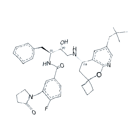 CC(C)(C)Cc1cnc2c(c1)[C@@H](NC[C@@H](O)[C@H](Cc1ccccc1)NC(=O)c1ccc(F)c(N3CCCC3=O)c1)CC1(CCC1)O2